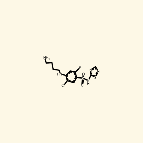 NCCCCNc1cc(F)c(S(=O)(=O)Nc2ncns2)cc1Cl